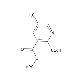 CCCOC(=O)c1cc(C)cnc1C(=O)O